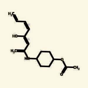 C=C/C=C\C(O)=C\C(=C)NC1CCC(OC(C)=O)CC1